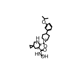 CC(C)Oc1cccc(C2CCN(C(=O)[C@H]3NCC4(CC4)C[C@@H]3C(=O)NO)CC2)c1